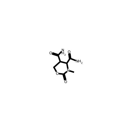 CN1C(=O)OC[C](C(N)=O)C1C(N)=O